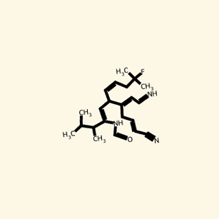 CC(C)C(C)/C(=C/C(/C=C\CC(C)(C)F)/C(=C/C=N)C/C=C/C#N)NC=O